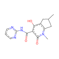 CC1Cc2c(O)c(C(=O)Nc3ncccn3)c(=O)n(C)c2C1